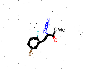 COC(=O)/C(=C/c1cc(Br)ccc1F)N=[N+]=[N-]